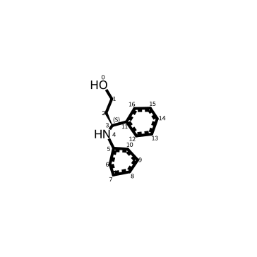 OCC[C@H](Nc1ccccc1)c1ccccc1